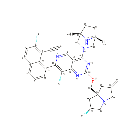 C#Cc1c(F)ccc2cccc(-c3ncc4c(N5C[C@H]6CC[C@@H](C5)N6)nc(OC[C@@]56CC(=C)CN5C[C@@H](F)C6)nc4c3F)c12